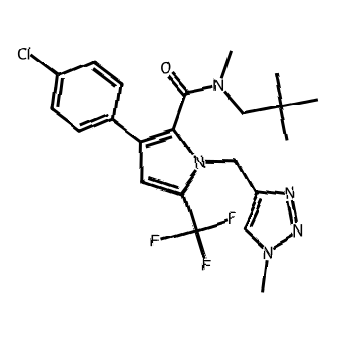 CN(CC(C)(C)C)C(=O)c1c(-c2ccc(Cl)cc2)cc(C(F)(F)F)n1Cc1cn(C)nn1